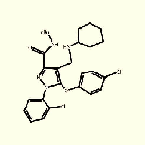 CCCCNC(=O)c1nn(-c2ccccc2Cl)c(Oc2ccc(Cl)cc2)c1CNC1CCCCC1